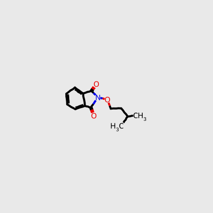 CC(C)CCON1C(=O)c2ccccc2C1=O